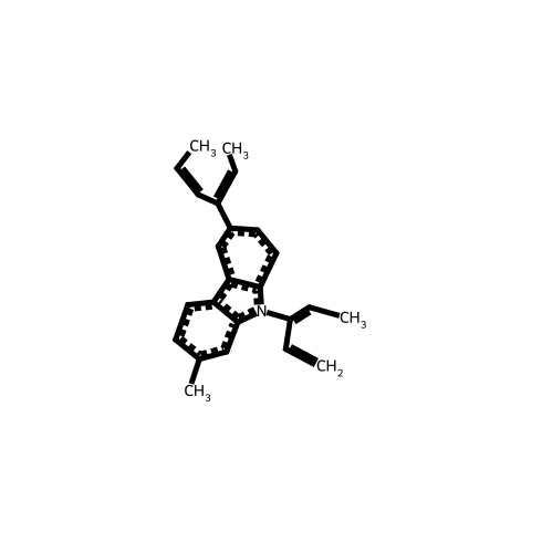 C=C/C(=C\C)n1c2ccc(C(/C=C\C)=C/C)cc2c2ccc(C)cc21